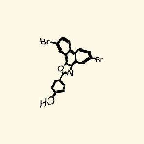 Oc1ccc(-c2nc3c4cc(Br)ccc4c4ccc(Br)cc4c3o2)cc1